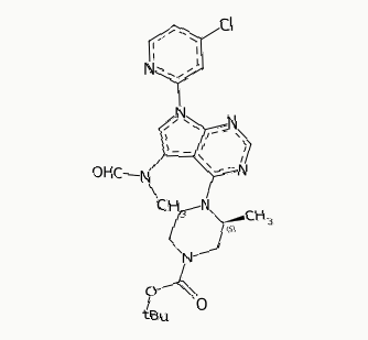 C[C@H]1CN(C(=O)OC(C)(C)C)CCN1c1ncnc2c1c(N(C)C=O)cn2-c1cc(Cl)ccn1